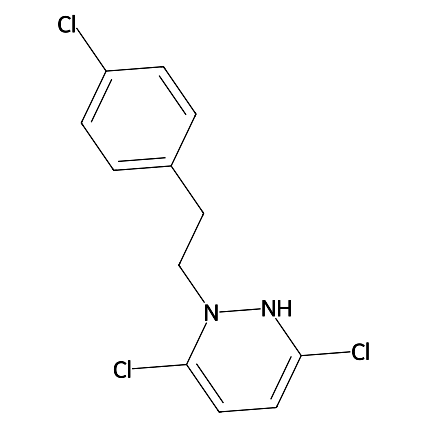 ClC1=CC=C(Cl)N(CCc2ccc(Cl)cc2)N1